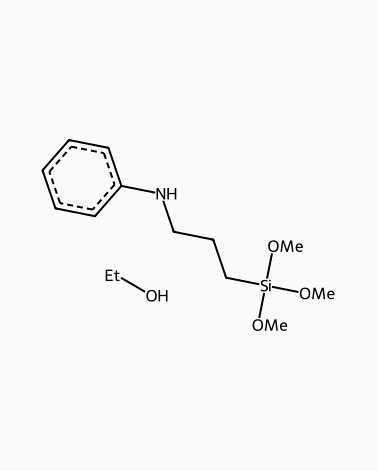 CCO.CO[Si](CCCNc1ccccc1)(OC)OC